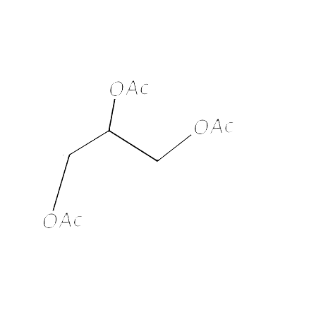 CC(=O)O[CH]C(COC(C)=O)OC(C)=O